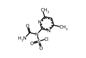 Cc1cc(C)nc(N(C(N)=O)S(=O)(=O)Cl)n1